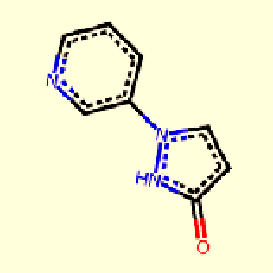 O=c1ccn(-c2cccnc2)[nH]1